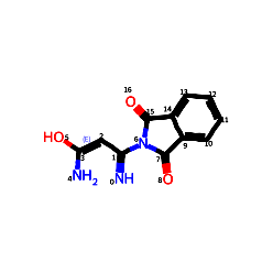 N=C(/C=C(\N)O)N1C(=O)c2ccccc2C1=O